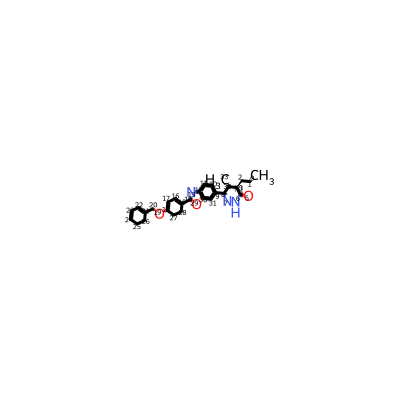 CCC[C@H]1C(=O)NN=C(c2ccc3nc(C4=CC=C(OCC5=CC=CCC5)CC4)oc3c2)C1C